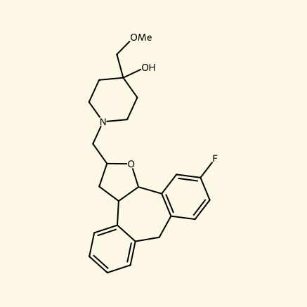 COCC1(O)CCN(CC2CC3c4ccccc4Cc4ccc(F)cc4C3O2)CC1